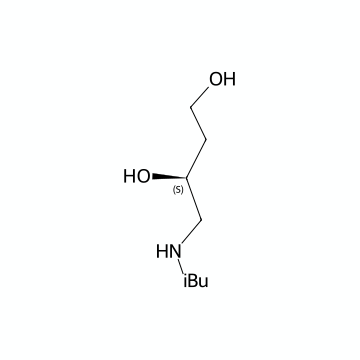 CCC(C)NC[C@@H](O)CCO